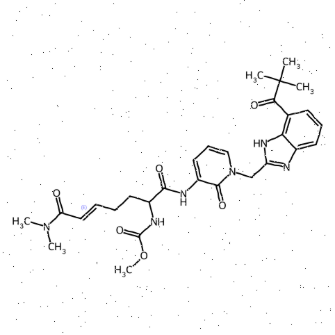 COC(=O)NC(CC/C=C/C(=O)N(C)C)C(=O)Nc1cccn(Cc2nc3cccc(C(=O)C(C)(C)C)c3[nH]2)c1=O